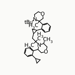 CC1COCC(c2ccccc2C2CC2)N1C(C)(C)CC1CC1c1ccccc1C1(C)COCCN1C(C)(C)C